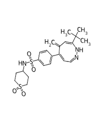 C=C1/C=C(/C(C)(C)C)N/N=C\C=C/1c1ccc(S(=O)(=O)NC2CCS(=O)(=O)CC2)cc1